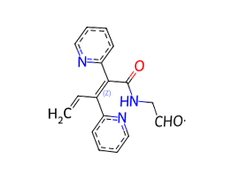 C=C/C(=C(/C(=O)NC[C]=O)c1ccccn1)c1ccccn1